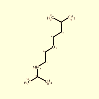 CC(C)CCOCCNC(C)C